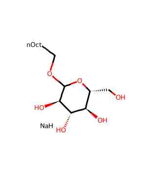 CCCCCCCCCOC1O[C@H](CO)[C@@H](O)[C@H](O)[C@H]1O.[NaH]